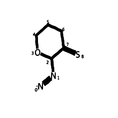 [N]=NC1OCCCC1=S